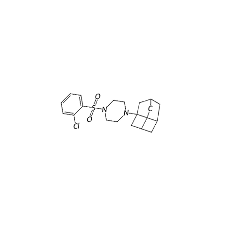 O=S(=O)(c1ccccc1Cl)N1CCN(C23CC4CC5CC(C2)C53C4)CC1